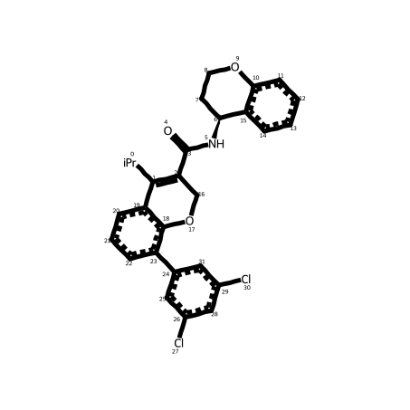 CC(C)C1=C(C(=O)N[C@H]2CCOc3ccccc32)COc2c1cccc2-c1cc(Cl)cc(Cl)c1